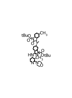 Cc1ccc2c(c1)[C@]1(C[C@H]1c1ccc3c(Nc4ccnc(N5CCOCC5)c4C)nn(C(=O)OC(C)(C)C)c3c1)C(=O)N2C(=O)OC(C)(C)C